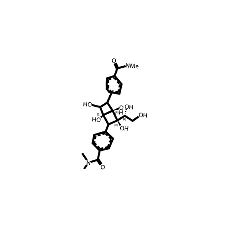 CNC(=O)c1ccc(C2C(O)[C@@]3(O)C(c4ccc(C(=O)N(C)C)cc4)[C@@](O)([C@H](O)CO)[C@@]23O)cc1